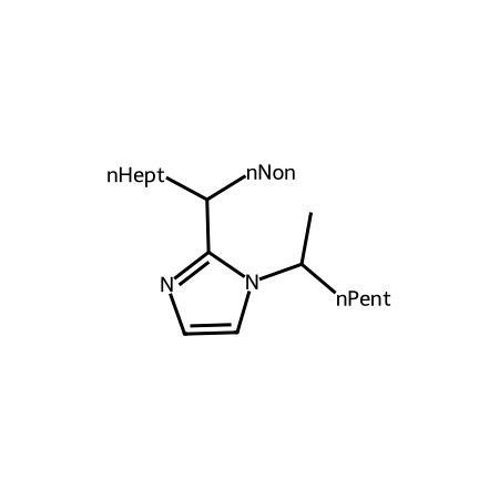 CCCCCCCCCC(CCCCCCC)c1nccn1C(C)CCCCC